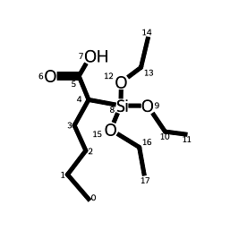 CCCCC(C(=O)O)[Si](OCC)(OCC)OCC